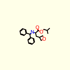 CC(C)COC(=O)C(CC1COC1)N=C(c1ccccc1)c1ccccc1